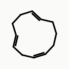 [CH]1/C=C/CCC/C=C\C/C=C/C1